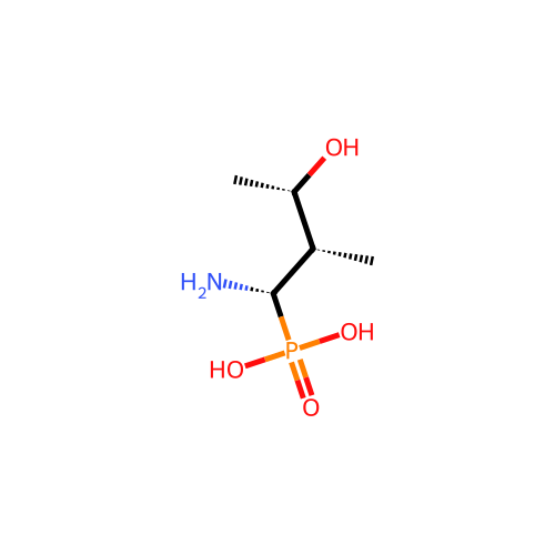 C[C@@H]([C@H](C)O)[C@@H](N)P(=O)(O)O